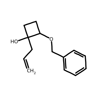 C=CCC1(O)CCC1OCc1ccccc1